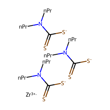 CCCN(CCC)C(=S)[S-].CCCN(CCC)C(=S)[S-].CCCN(CCC)C(=S)[S-].[Zr+3]